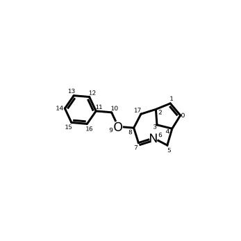 C1=CC2CC1C/N=C/C(OCc1ccccc1)C2